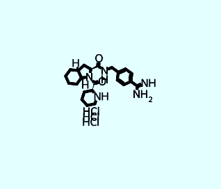 Cl.Cl.Cl.N=C(N)c1ccc(CNC(=O)[C@@H]2C[C@H]3CCCC[C@H]3N2C(=O)[C@H]2CCCCN2)cc1